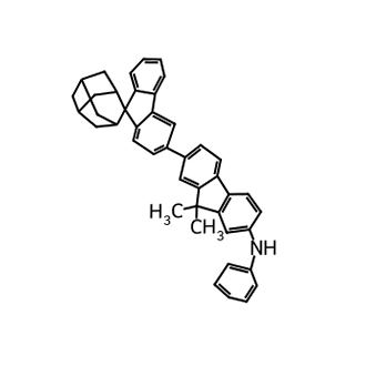 CC1(C)c2cc(Nc3ccccc3)ccc2-c2ccc(-c3ccc4c(c3)-c3ccccc3C43C4CC5CC(C4)CC3C5)cc21